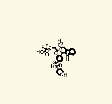 C[C@H]1Cc2c([nH]c3ccccc23)[C@@H](c2ccc(S(=O)(=O)NC3CCNCC3)cc2)N1C(=O)CCl.O=C(O)C(F)(F)F